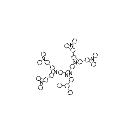 c1ccc(-c2cc(-c3ccccc3)cc(-c3cccc(-c4nc(-c5ccc(-n6c7ccc(-c8ccc9c(c8)c8ccccc8n9-c8ccccc8)cc7c7cc(-c8ccc9c(c8)c8ccccc8n9-c8ccccc8)ccc76)cc5)cc(-c5ccc(-n6c7ccc(-c8ccc9c(c8)c8ccccc8n9-c8ccccc8)cc7c7cc(-c8ccc9c(c8)c8ccccc8n9-c8ccccc8)ccc76)cc5)n4)c3)c2)cc1